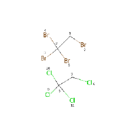 BrCC(Br)(Br)Br.ClCC(Cl)(Cl)Cl